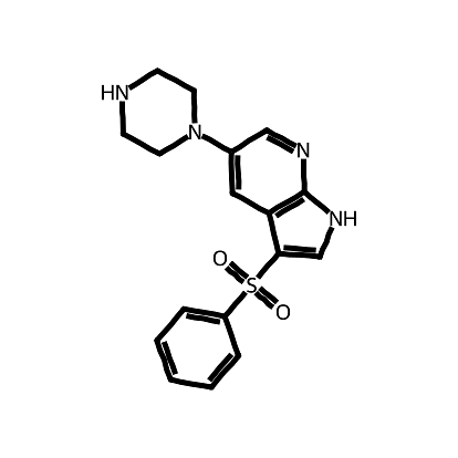 O=S(=O)(c1ccccc1)c1c[nH]c2ncc(N3CCNCC3)cc12